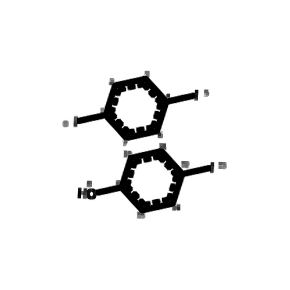 Ic1ccc(I)cc1.Oc1ccc(I)cc1